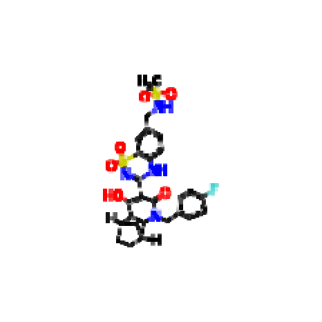 CS(=O)(=O)NCc1ccc2c(c1)S(=O)(=O)N=C(C1=C(O)C3C([C@@H]4CC[C@H]3C4)N(Cc3ccc(F)cc3)C1=O)N2